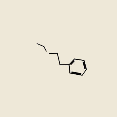 BCSCCc1ccccc1